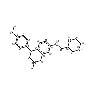 CSc1ccc(C2CN(C)Cc3cc(OCC4CNCCO4)ccc32)cc1